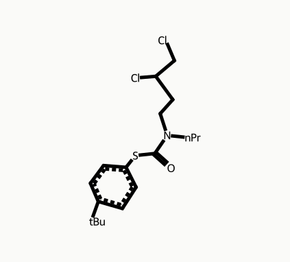 CCCN(CCC(Cl)CCl)C(=O)Sc1ccc(C(C)(C)C)cc1